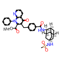 COC(=O)c1c(Cc2ccc(C(=O)N[C@@H]3[C@@H]4C[C@@H]5C[C@H]3C[C@@](NS(C)(=O)=O)(C5)C4)cc2)c(=O)c2cccnc2n1-c1ccccc1